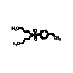 CCCCN(CCCC)S(=O)(=O)c1ccc(CC)cc1